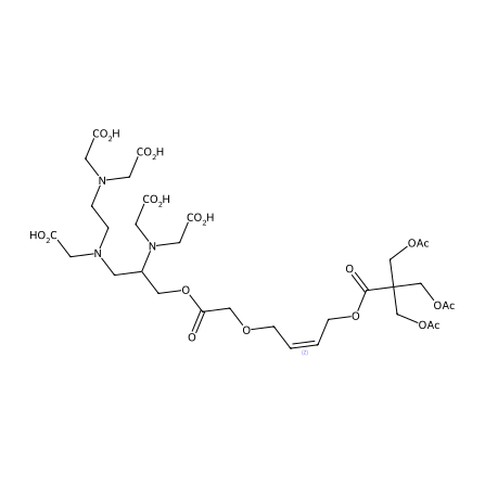 CC(=O)OCC(COC(C)=O)(COC(C)=O)C(=O)OC/C=C\COCC(=O)OCC(CN(CCN(CC(=O)O)CC(=O)O)CC(=O)O)N(CC(=O)O)CC(=O)O